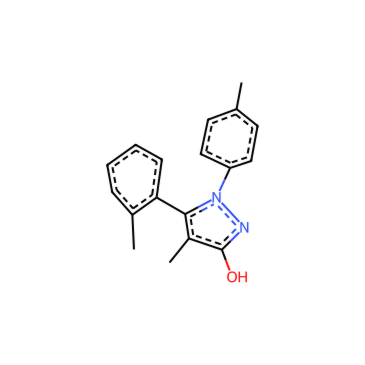 Cc1ccc(-n2nc(O)c(C)c2-c2ccccc2C)cc1